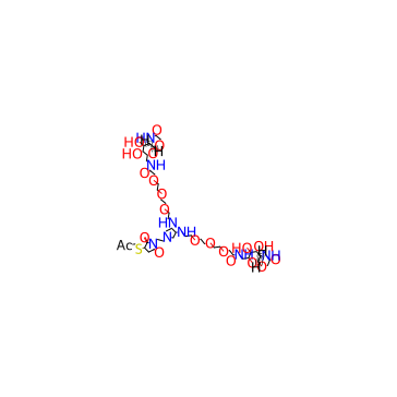 CC(=O)CSC1CC(=O)N(CCN2CC(NCCOCCOCCOCC(=O)NCC3O[C@@H]4OCC(=O)N[C@H]4C(O)C3O)C(NCCOCCOCCOCC(=O)NCC3O[C@@H]4OCC(=O)N[C@H]4C(O)C3O)C2)C1=O